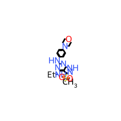 CCNc1nc(Nc2ccc(N3CCOCC3)cc2)nc2[nH]nc(S(C)(=O)=O)c12